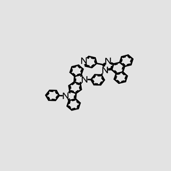 c1ccc(-n2c3ccccc3c3cc4c(cc32)c2ccccc2n4-c2cccc(-n3c(-c4ccncc4)nc4c5ccccc5c5ccccc5c43)c2)cc1